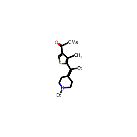 CCC(=C1CCN(CC)CC1)c1scc(C(=O)OC)c1C